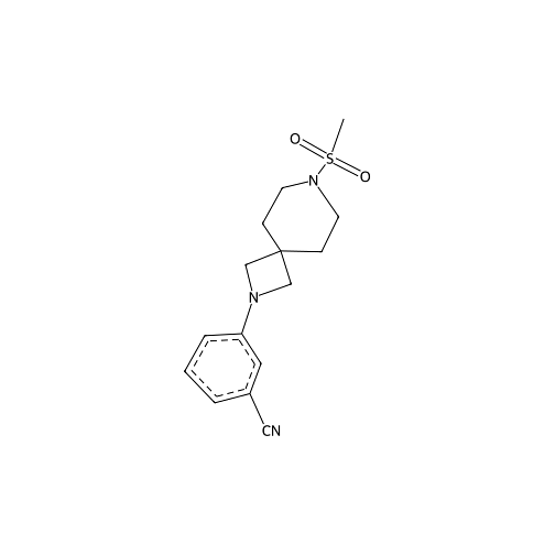 CS(=O)(=O)N1CCC2(CC1)CN(c1cccc(C#N)c1)C2